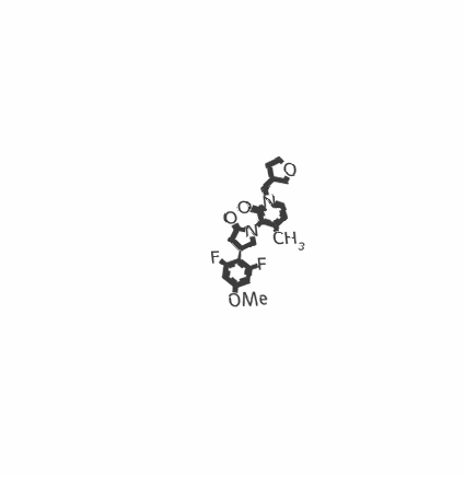 COc1cc(F)c([C@H]2CC(=O)N(c3c(C)ccn(CC4CCOC4)c3=O)C2)c(F)c1